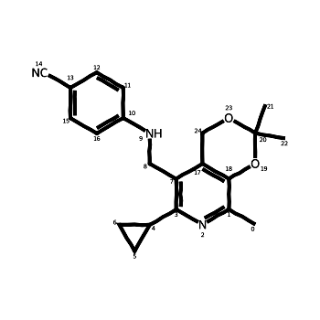 Cc1nc(C2CC2)c(CNc2ccc(C#N)cc2)c2c1OC(C)(C)OC2